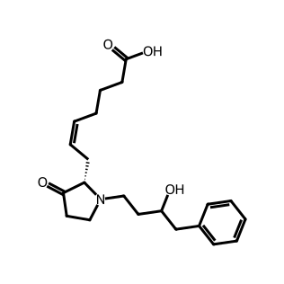 O=C(O)CCC/C=C\C[C@H]1C(=O)CCN1CCC(O)Cc1ccccc1